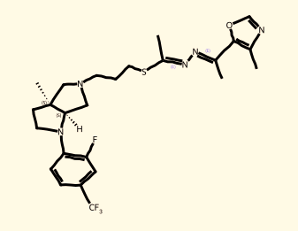 C/C(=N\N=C(/C)c1ocnc1C)SCCCN1C[C@H]2N(c3ccc(C(F)(F)F)cc3F)CC[C@@]2(C)C1